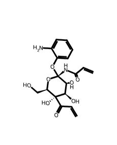 C=CC(=O)N[C@]1(Oc2ccccc2N)O[C@H](CO)[C@](O)(C(=O)C=C)[C@H](O)[C@@H]1O